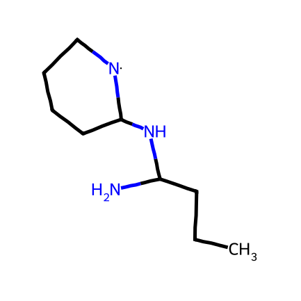 CCCC(N)NC1CCCC[N]1